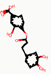 O=C(/C=C/c1ccc(O)c(O)c1)Oc1ccc(C(=O)O)cc1O